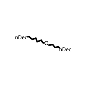 CCCCCCCCCCCCCCC[CH]OCCCCCCCCCCCCCC